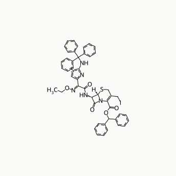 CCON=C(C(=O)N[C@@H]1C(=O)N2C(C(=O)OC(c3ccccc3)c3ccccc3)=C(CI)CS[C@@H]12)c1csc(NC(c2ccccc2)(c2ccccc2)c2ccccc2)n1